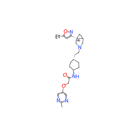 CCc1cc([C@]23CC2CN(CC[C@H]2CC[C@H](NC(=O)COc4cnc(C)nc4)CC2)C3)no1